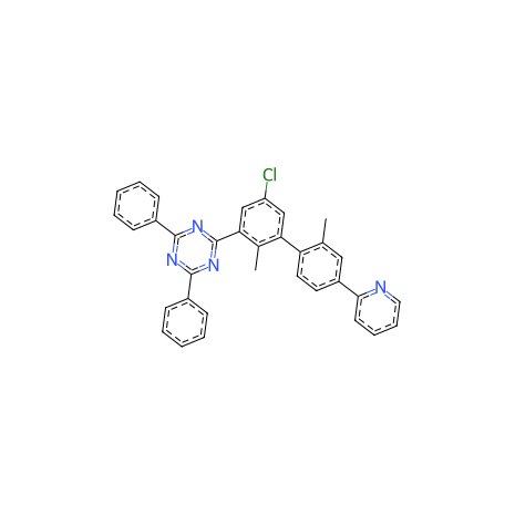 Cc1cc(-c2ccccn2)ccc1-c1cc(Cl)cc(-c2nc(-c3ccccc3)nc(-c3ccccc3)n2)c1C